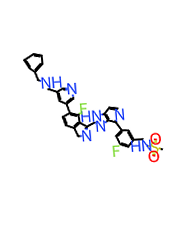 CS(=O)(=O)NCc1cc(F)cc(-c2nccc3[nH]c(C4=NCc5ccc(-c6cncc(CNCc7ccccc7)c6)c(F)c54)nc23)c1